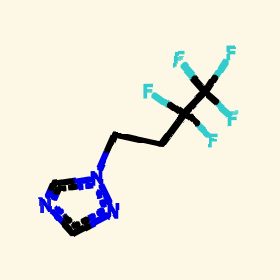 FC(F)(F)C(F)(F)CCn1cncn1